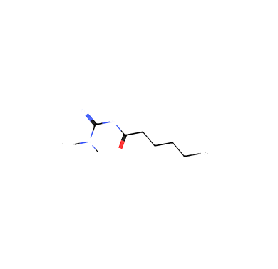 CCCCCCCCCCCCCC(=O)NC(=N)N(C)OC(C)=O